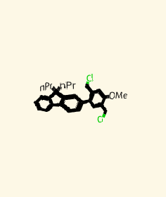 CCCC1(CCC)c2ccccc2-c2ccc(-c3cc(CCl)c(OC)cc3CCl)cc21